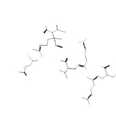 C=CC(C)(CCC=C(C)C)C(C(=O)O)C(C)C.CC(C)=CCCC(C)=CCC(C(=O)O)C(C)C.CC(C)CCC(=O)O.CCC(CC=C(C)CCC=C(C)C)C(=O)O